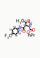 CCCOC(=O)c1noc(C)c1C(=O)Nc1ccc(C(F)(F)F)cc1